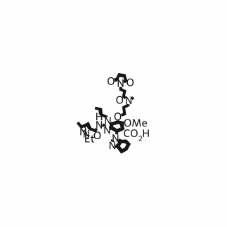 CC=CCn1c(NC(=O)c2cc(C)nn2CC)nc2c(-n3cnc4ccccc43)c(C(=O)O)c(OC)c(OCCCN(C)C(=O)CCN3C(=O)C=CC3=O)c21